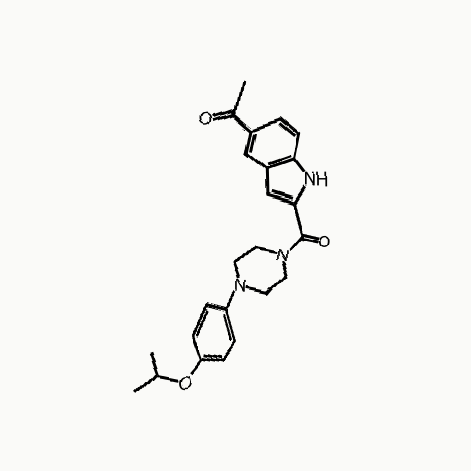 CC(=O)c1ccc2[nH]c(C(=O)N3CCN(c4ccc(OC(C)C)cc4)CC3)cc2c1